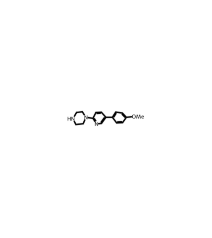 COc1ccc(-c2ccc(N3CCNCC3)nc2)cc1